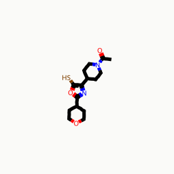 CC(=O)N1CCC(c2nc(C3CCOCC3)oc2S)CC1